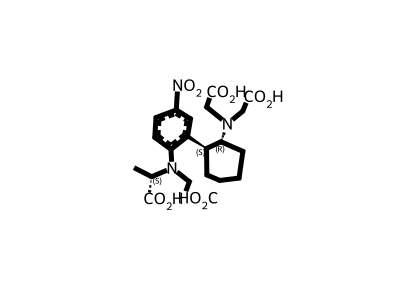 C[C@@H](C(=O)O)N(CC(=O)O)c1ccc([N+](=O)[O-])cc1[C@@H]1CCCC[C@H]1N(CC(=O)O)CC(=O)O